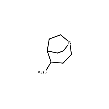 CC(=O)OC1CCN2CCC1CC2